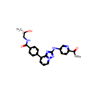 CNC(=O)c1ccc(Nc2nc3c(-c4ccc(C(=O)NC[C@H](C)O)cc4)cccn3n2)cn1